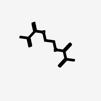 C=C(C)C(=C)OCCOC(=C)C(=C)C